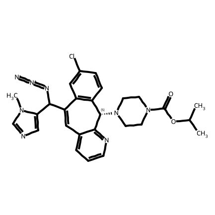 CC(C)OC(=O)N1CCN([C@H]2c3ccc(Cl)cc3C(C(N=[N+]=[N-])c3cncn3C)=Cc3cccnc32)CC1